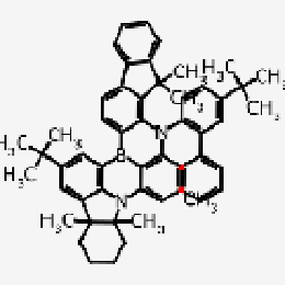 Cc1cc2c3c(c1)N1c4c(cc(C(C)(C)C)cc4C4(C)CCCCC14C)B3c1ccc3c(c1N2c1ccc(C(C)(C)C)cc1-c1ccccc1)C(C)(C)c1ccccc1-3